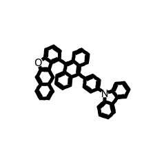 C1=CC2=Cc3oc4cccc(-c5c6ccccc6c(-c6ccc(-n7c8ccccc8c8ccccc87)cc6)c6ccccc56)c4c3CC2C=C1